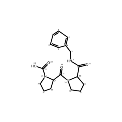 O=C(NCc1ccccc1)C1CCCN1C(=O)C1CCCN1C(=O)O